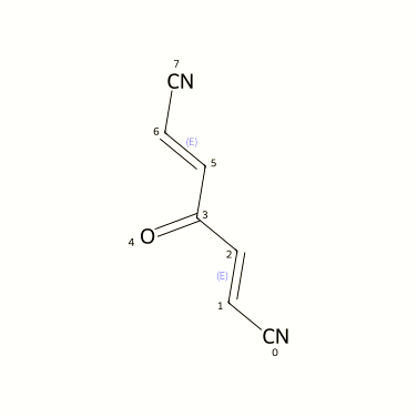 N#C/C=C/C(=O)/C=C/C#N